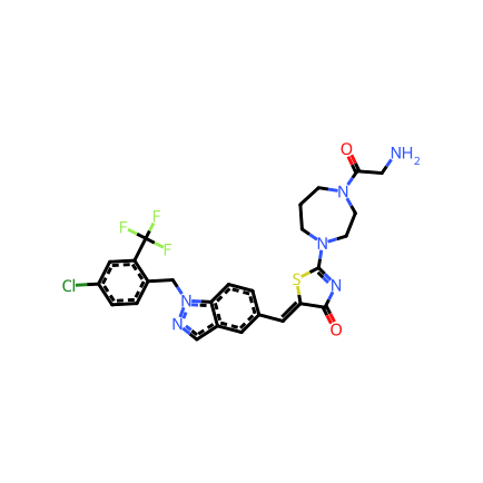 NCC(=O)N1CCCN(C2=NC(=O)/C(=C/c3ccc4c(cnn4Cc4ccc(Cl)cc4C(F)(F)F)c3)S2)CC1